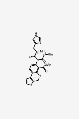 COC(=O)c1c(N(C(=O)OC(C)(C)C)C(=O)[C@@H](N)Cc2c[nH]cn2)ccc2c1OCc1occc1-2